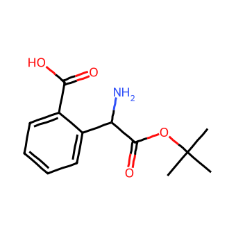 CC(C)(C)OC(=O)C(N)c1ccccc1C(=O)O